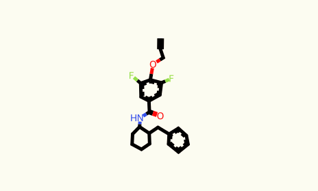 C#CCOc1c(F)cc(C(=O)NC2CCCCC2Cc2ccccc2)cc1F